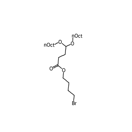 CCCCCCCCOC(CCC(=O)OCCCCBr)OCCCCCCCC